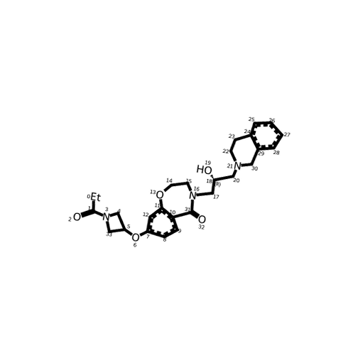 CCC(=O)N1CC(Oc2ccc3c(c2)OCCN(C[C@H](O)CN2CCc4ccccc4C2)C3=O)C1